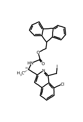 C[C@H](NC(=O)OCC1c2ccccc2-c2ccccc21)c1cc2cccc(Cl)c2c(CI)n1